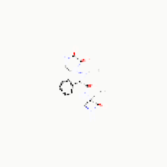 CCN1CCN(N(C(=O)O)C(C(=O)NC2(SC)CNC2=O)c2ccccc2)C(=O)C1=O